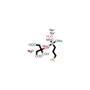 CO[Si](CCCS)(OC)OC.O.O.O=C([O-])CC(O)(CC(=O)[O-])C(=O)[O-].[Na+].[Na+].[Na+]